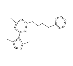 Cc1cc(CCCCc2ccccc2)nc(-n2c(C)ccc2C)c1